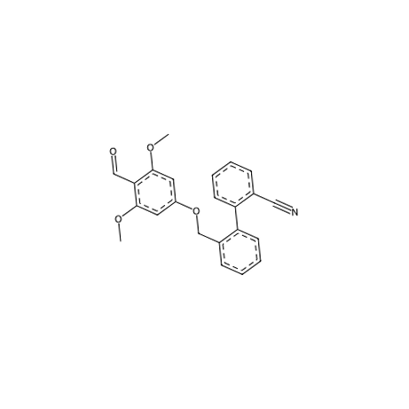 COc1cc(OCc2ccccc2-c2ccccc2C#N)cc(OC)c1C=O